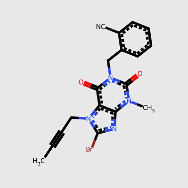 CC#CCn1c(Br)nc2c1c(=O)n(Cc1ccccc1C#N)c(=O)n2C